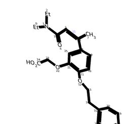 CCN(CC)C(=O)/C=C(/C)c1ccc(OCCc2ccccc2)c(OCC(=O)O)c1